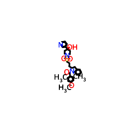 COc1cc(C)c(C(=O)N2c3ccccc3CC2CCCS(=O)(=O)N2CCC(O)(c3cccnc3)CC2)c(C)c1